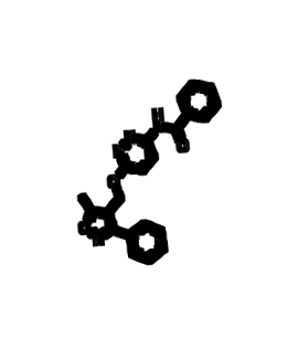 Cc1onc(-c2ccccc2)c1COc1ccc(NC(=O)c2ccccc2)nn1